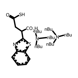 CCCCN(CCCC)CCCC.CCCCN(CCCC)CCCC.O=C(S)CC(C(=O)O)c1nc2ccccc2s1